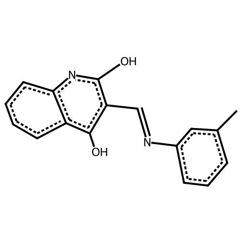 Cc1cccc(N=Cc2c(O)nc3ccccc3c2O)c1